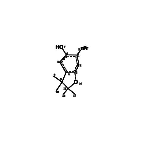 CCCc1cc2c(cc1O)C(C)(C)C(C)(C)O2